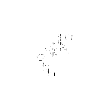 CCn1c(Oc2cccc(N3CCN(C)CC3)c2)nnc1[C@@H](C)NS(=O)(=O)c1ccccc1Br